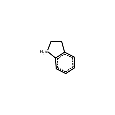 c1ccc2c(c1)CC[SiH2]2